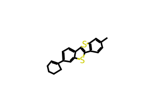 Cc1ccc2c(c1)sc1c3ccc(C4=CCCCC4)cc3sc21